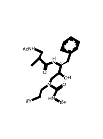 CC(=O)NCC(C)C(=O)N[C@@H](Cc1ccccc1)C(O)CN(CCC(C)C)C(=O)NC(C)(C)C